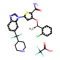 C[C@@H](Oc1cc(-n2cnc3ccc(C(F)(F)C4CCNCC4)cc32)sc1C(N)=O)c1ccccc1Cl.O=C(O)C(F)(F)F